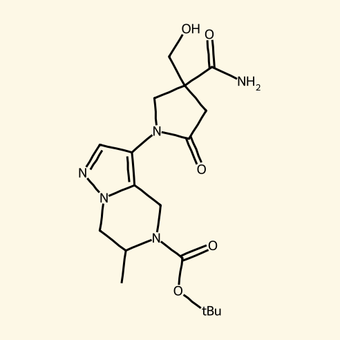 CC1Cn2ncc(N3CC(CO)(C(N)=O)CC3=O)c2CN1C(=O)OC(C)(C)C